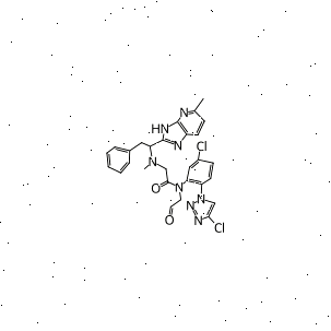 Cc1ccc2nc(C(Cc3ccccc3)N(C)CC(=O)N(CC=O)c3cc(Cl)ccc3-n3cc(Cl)nn3)[nH]c2n1